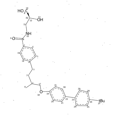 CC(CCc1ccc(C(=O)NC[C@H](O)C(=O)O)cc1)COc1ccc(-c2ccc(C(C)(C)C)cc2)cc1